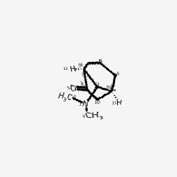 CN(C)C1[C@H]2CC[C@@H]1C(=O)C2